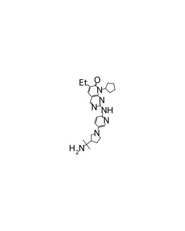 CCc1cc2cnc(Nc3ccc(N4CCC(C(C)(C)N)C4)cn3)nc2n(C2CCCC2)c1=O